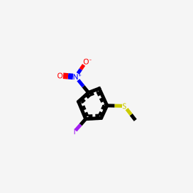 CSc1cc(I)cc([N+](=O)[O-])c1